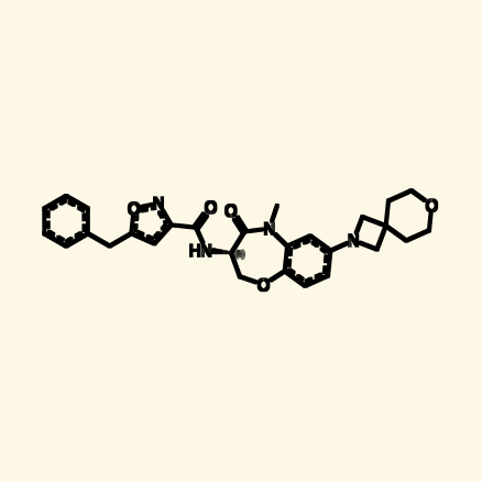 CN1C(=O)[C@H](NC(=O)c2cc(Cc3ccccc3)on2)COc2ccc(N3CC4(CCOCC4)C3)cc21